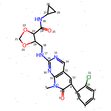 Cn1c(=O)c(-c2ccccc2Cl)cc2cnc(NCC3OCOC3C(=O)NC3CC3)nc21